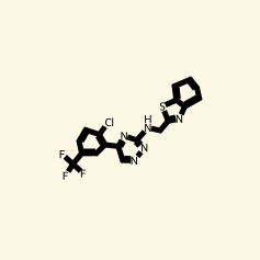 FC(F)(F)c1ccc(Cl)c(-c2cnnc(NCc3nc4ccccc4s3)n2)c1